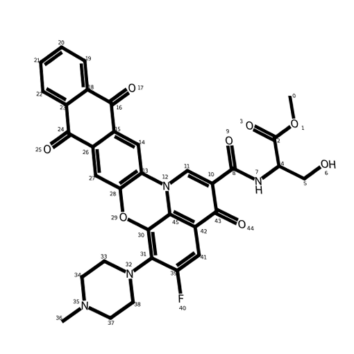 COC(=O)C(CO)NC(=O)c1cn2c3cc4c(=O)c5ccccc5c(=O)c4cc3oc3c(N4CCN(C)CC4)c(F)cc(c1=O)c32